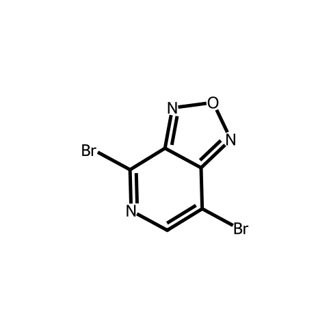 Brc1cnc(Br)c2nonc12